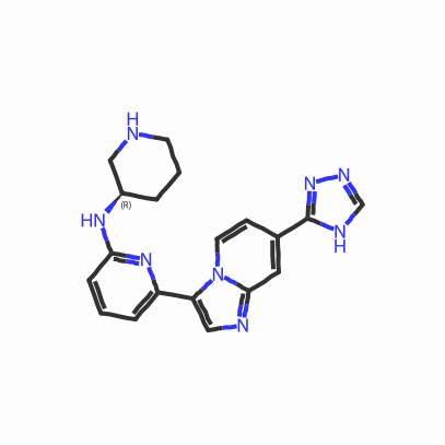 c1cc(N[C@@H]2CCCNC2)nc(-c2cnc3cc(-c4nnc[nH]4)ccn23)c1